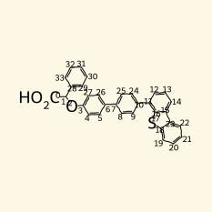 O=C(O)C(Oc1ccc(-c2ccc(-c3cccc4c3sc3ccccc34)cc2)cc1)c1ccccc1